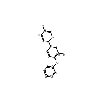 CC1=CCC(C2C=CC(Sc3ccccc3)=C(C)C2)C=C1